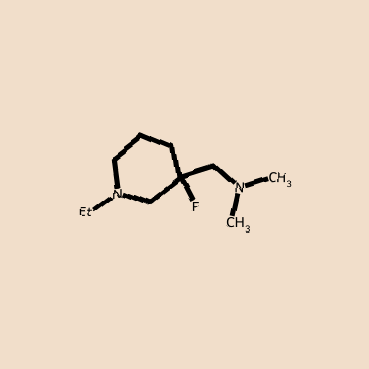 CCN1CCCC(F)(CN(C)C)C1